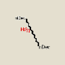 CCCCCCCCCCCCCCCCCCC(CCCCCCCCCCCCCCC)OO